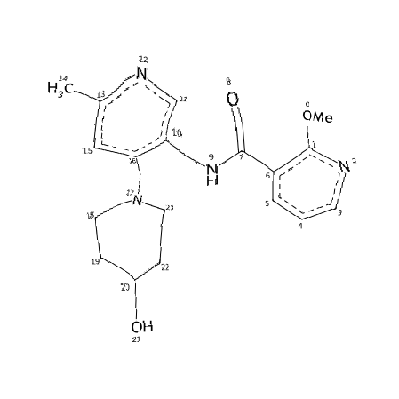 COc1ncccc1C(=O)Nc1cnc(C)cc1N1CCC(O)CC1